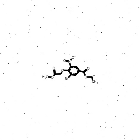 CCOC(=O)c1cc(Br)c(OCC(=O)OC)c([N+](=O)[O-])c1